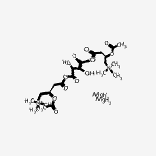 CC(=O)O[C@H](CC(=O)OC(=O)C(O)C(O)C(=O)OC(=O)C[C@H](C[N+](C)(C)C)OC(C)=O)C[N+](C)(C)C.[MgH2].[MgH2]